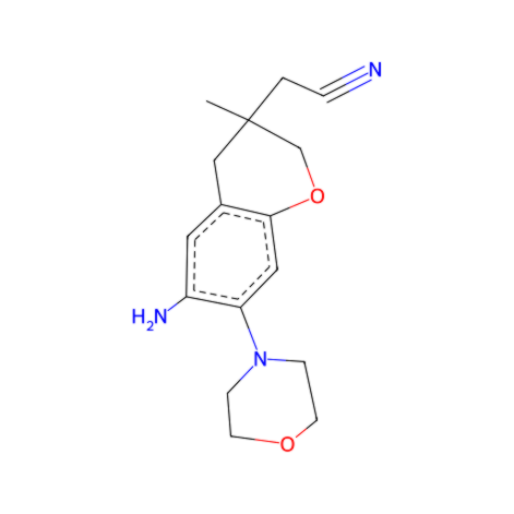 CC1(CC#N)COc2cc(N3CCOCC3)c(N)cc2C1